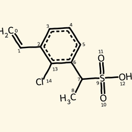 C=Cc1cccc(C(C)S(=O)(=O)O)c1Cl